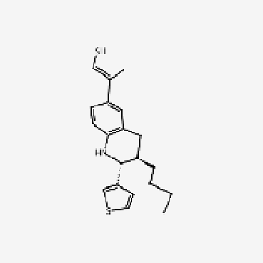 CCCC[C@@H]1Cc2cc(/C(C)=C/S)ccc2N[C@H]1c1ccsc1